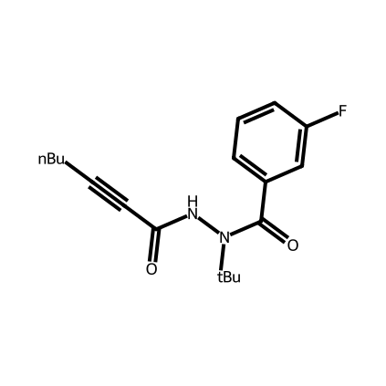 CCCCC#CC(=O)NN(C(=O)c1cccc(F)c1)C(C)(C)C